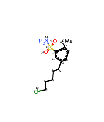 CSc1ccc(CCCCCCl)cc1S(N)(=O)=O